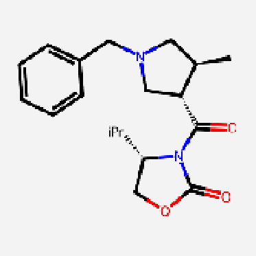 CC(C)[C@H]1COC(=O)N1C(=O)[C@@H]1CN(Cc2ccccc2)C[C@H]1C